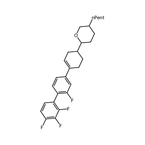 CCCCCC1CCC(C2CC=C(c3ccc(-c4ccc(F)c(F)c4F)c(F)c3)CC2)OC1